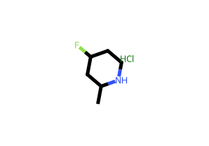 CC1CC(F)CCN1.Cl